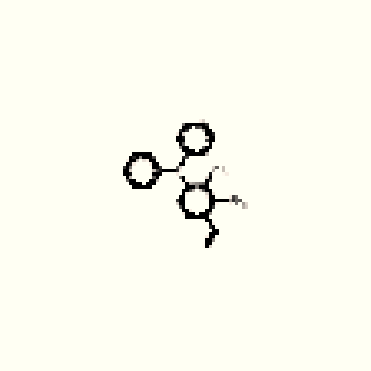 C=Cc1ccc(P(c2ccccc2)c2ccccc2)c(P)c1P